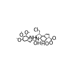 COC(=O)C1C=Cc2c1c(O)cc1c2[C@H](CCl)CN1C(O)c1cc2cc(OC)c(OC)c(OC)c2[nH]1